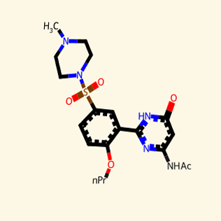 CCCOc1ccc(S(=O)(=O)N2CCN(C)CC2)cc1-c1nc(NC(C)=O)cc(=O)[nH]1